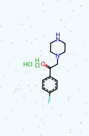 Cl.Cl.O=C(CN1CCNCC1)c1ccc(F)cc1